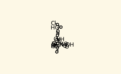 CCN(CCOP(=O)(O)O)CC[C@@H](CSc1ccccc1)Nc1ccc(S(=O)(=O)NC(=O)c2ccc(N3CCC(C(O)c4ccccc4-c4ccc(Cl)cc4)CC3)cc2)cc1S(=O)(=O)C(F)(F)F